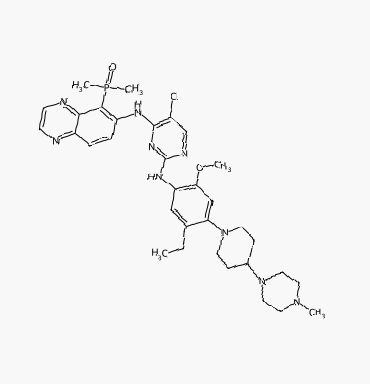 CCc1cc(Nc2ncc(Cl)c(Nc3ccc4nccnc4c3P(C)(C)=O)n2)c(OC)cc1N1CCC(N2CCN(C)CC2)CC1